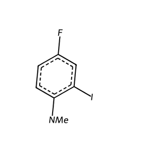 CNc1ccc(F)cc1I